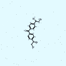 O=C(c1ccc(C(Br)CBr)cc1)c1ccc(C(Br)CBr)cc1